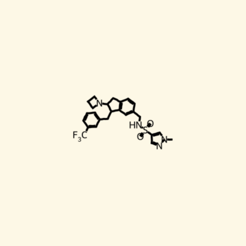 Cn1cc(S(=O)(=O)NCc2ccc3c(c2)C(Cc2cccc(C(F)(F)F)c2)C(N2CCC2)C3)cn1